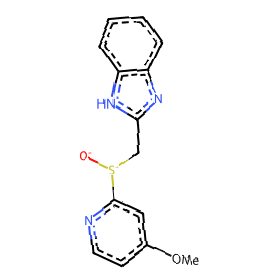 COc1ccnc([S+]([O-])Cc2nc3ccccc3[nH]2)c1